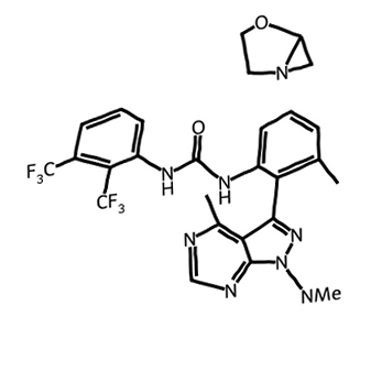 C1CN2CC2O1.CNn1nc(-c2c(C)cccc2NC(=O)Nc2cccc(C(F)(F)F)c2C(F)(F)F)c2c(C)ncnc21